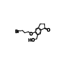 O=C1CCc2cc(OCCCBr)c(CO)cc21